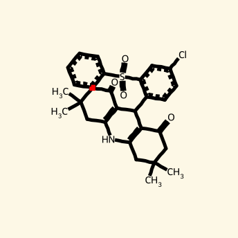 CC1(C)CC(=O)C2=C(C1)NC1=C(C(=O)CC(C)(C)C1)C2c1ccc(Cl)cc1S(=O)(=O)c1ccccc1